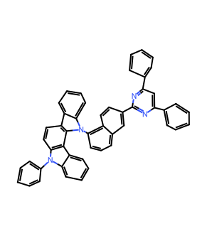 c1ccc(-c2cc(-c3ccccc3)nc(-c3ccc4c(-n5c6ccccc6c6ccc7c(c8ccccc8n7-c7ccccc7)c65)cccc4c3)n2)cc1